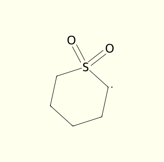 O=S1(=O)[CH]CCCC1